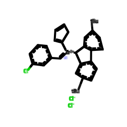 CC(C)(C)c1ccc2c(c1)[CH](/[Zr+2](=[CH]/c1cccc(Cl)c1)[C]1=CC=CC1)c1cc(C(C)(C)C)ccc1-2.[Cl-].[Cl-]